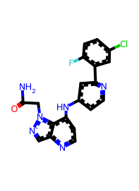 NC(=O)Cn1ncc2nccc(Nc3ccnc(-c4cc(Cl)ccc4F)c3)c21